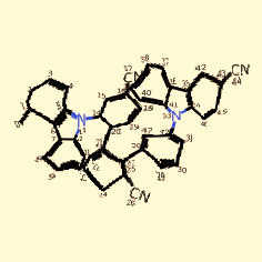 CC1CC=Cc2c1c1ccccc1n2C1C=C(C#N)C=CC1C1=CC=CC(C#N)C1c1cccc(-n2c3c(c4ccccc42)CC(C#N)C=C3)c1